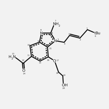 CC(C)(C)C/C=C/Cn1c(N)nc2cc(C(N)=O)cc(OCCO)c21